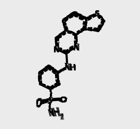 NS(=O)(=O)c1cccc(Nc2ncc3ccc4sccc4c3n2)c1